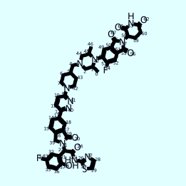 CC1CN(CC2CCN(c3ccc(-c4ccc5c(c4)C(=O)N(C(C(=O)Nc4nccs4)c4cc(F)ccc4O)C5)nn3)CC2)CC(C)N1c1cc2c(cc1F)C(=O)N(C1CCC(=O)NC1=O)C2=O